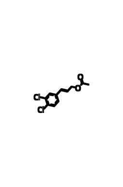 CC(=O)OC/C=C/c1ccc(Cl)c(Cl)c1